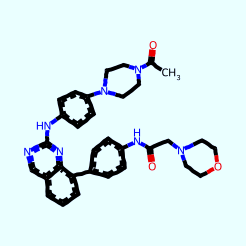 CC(=O)N1CCN(c2ccc(Nc3ncc4cccc(-c5ccc(NC(=O)CN6CCOCC6)cc5)c4n3)cc2)CC1